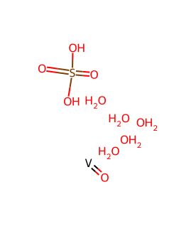 O.O.O.O.O.O=S(=O)(O)O.[O]=[V]